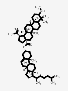 C=C(C)[C@@H]1CC[C@]2(C(=O)O[C@@H]3CC[C@@]4(C)C(=CC[C@H]5[C@@H]6CC[C@H]([C@H](C)CCCC(C)C)[C@@]6(C)CC[C@@H]54)C3)CC[C@]3(C)[C@H](CC[C@@H]4[C@@]5(C)CCC(NC)C(C)(C)C5CC[C@]43C)C12